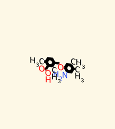 Cc1cc(N)c(OCc2ccc(C)c(C(=O)O)c2C)cc1C